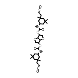 CC1(C)CC(NC(=O)OC2COC3C(OC(=O)NC4CC(C)(C)CC(C)(CN=C=O)C4)COC23)CC(C)(CN=C=O)C1